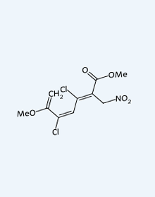 C=C(OC)/C(Cl)=C\C(Cl)=C(/C[N+](=O)[O-])C(=O)OC